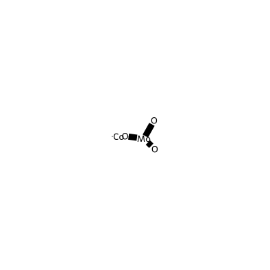 [Co].[O]=[Mo](=[O])=[O]